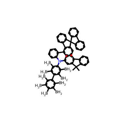 Bc1c(B)c(B)c(-c2c(B)c(B)c(N(c3ccc4c(c3)C(C)(C)c3ccccc3-4)c3ccccc3-c3cccc4c3-c3ccccc3C43c4ccccc4-c4ccccc43)c(B)c2B)c(B)c1B